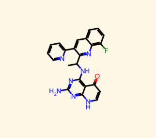 CC(Nc1nc(N)nc2[nH]ccc(=O)c12)c1nc2c(F)cccc2cc1-c1ccccn1